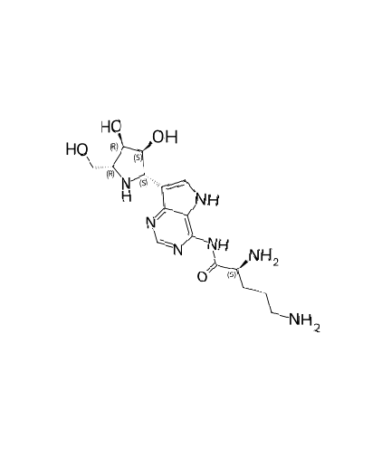 NCCC[C@H](N)C(=O)Nc1ncnc2c([C@@H]3N[C@H](CO)[C@@H](O)[C@H]3O)c[nH]c12